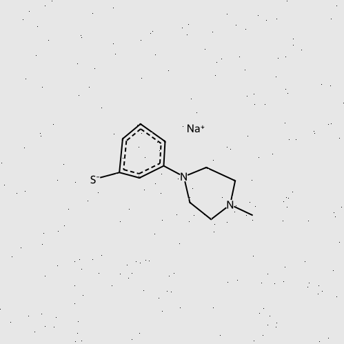 CN1CCN(c2cccc([S-])c2)CC1.[Na+]